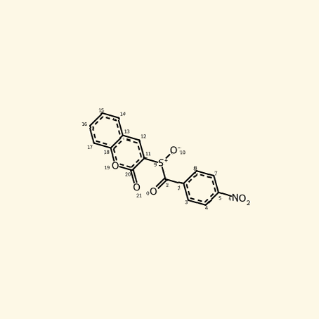 O=C(c1ccc([N+](=O)[O-])cc1)[S+]([O-])c1cc2ccccc2oc1=O